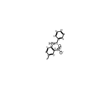 Cc1ccc(NCc2ccccc2)c([N+](=O)[O-])c1